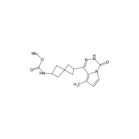 Cc1ccn2c(=O)[nH]nc(C3CC4(CC(NC(=O)OC(C)(C)C)C4)C3)c12